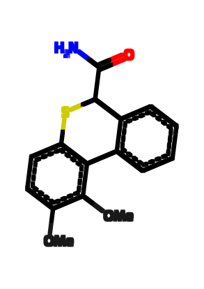 COc1ccc2c(c1OC)-c1ccccc1C(C(N)=O)S2